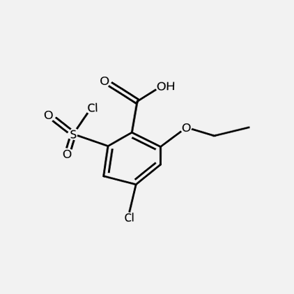 CCOc1cc(Cl)cc(S(=O)(=O)Cl)c1C(=O)O